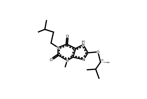 CC(C)CCn1c(=O)c2[nH]c(O[C@H](C)C(C)C)nc2n(C)c1=O